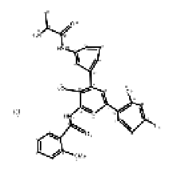 COc1ccccc1C(=O)Nc1nc(-c2ccc(F)cc2O)cc(-c2cccc(NC(=O)C(C)N)c2)c1C#N.Cl